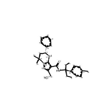 CCC(CC)(NC(=O)c1c(C)nn2c1N[C@@H](c1ccccc1)CC2(C)C)c1ccc(C)cc1.Cl